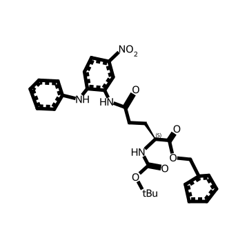 CC(C)(C)OC(=O)N[C@@H](CCC(=O)Nc1cc([N+](=O)[O-])ccc1Nc1ccccc1)C(=O)OCc1ccccc1